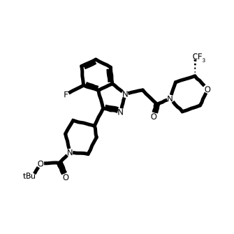 CC(C)(C)OC(=O)N1CCC(c2nn(CC(=O)N3CCO[C@@H](C(F)(F)F)C3)c3cccc(F)c23)CC1